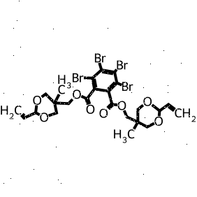 C=CC1OCC(C)(COC(=O)c2c(Br)c(Br)c(Br)c(Br)c2C(=O)OCC2(C)COC(C=C)OC2)CO1